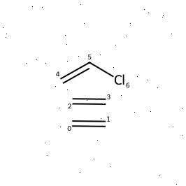 C=C.C=C.C=CCl